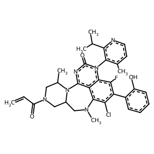 C=CC(=O)N1CC(C)N2c3nc(=O)n(-c4c(C)ccnc4C(C)C)c4c(F)c(-c5ccccc5O)c(Cl)c(c34)N(C)CC2C1